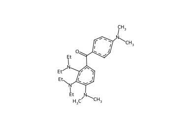 CCN(CC)c1c(C(=O)c2ccc(N(C)C)cc2)ccc(N(C)C)c1N(CC)CC